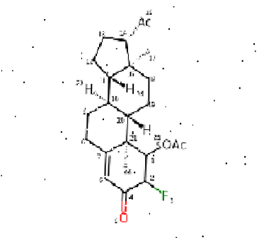 CC(=O)OC1C(F)C(=O)C=C2CC[C@H]3[C@@H]4CC[C@H](C(C)=O)[C@@]4(C)CC[C@@H]3[C@]21C